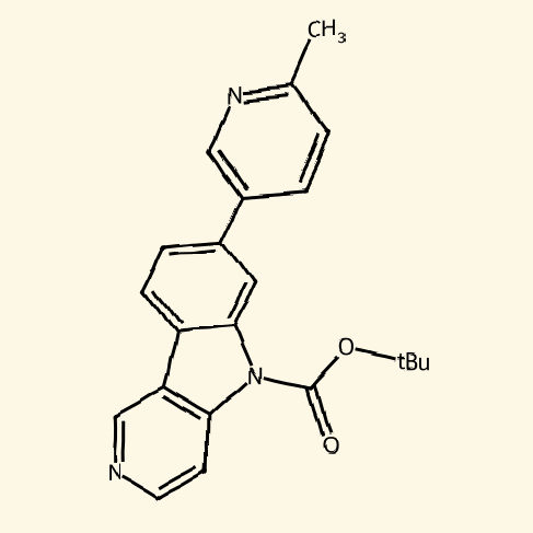 Cc1ccc(-c2ccc3c4cnccc4n(C(=O)OC(C)(C)C)c3c2)cn1